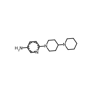 Nc1ccc(N2CCC(N3CCCCC3)CC2)nc1